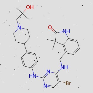 CC(C)(O)CN1CCC(c2ccc(Nc3ncc(Br)c(NCc4cccc5c4C(C)(C)C(=O)N5)n3)cc2)CC1